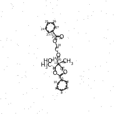 C[C@@H](OC(=O)c1ccccc1)[C@@](C)(F)[C@H](O)OCCOC(=O)c1ccccc1